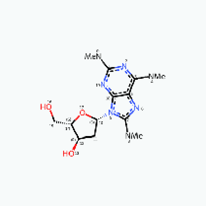 CNc1nc(NC)c2nc(NC)n([C@@H]3C[C@@H](O)[C@H](CO)O3)c2n1